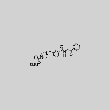 CC(C)(C)OC(=O)N1CCN(Cc2cccc(C(=O)NCC(=O)c3ccccc3)c2)CC1